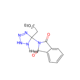 CCCCCCN1NN=NC1(CC(=O)OCC)N1C(=O)c2ccccc2C1=O